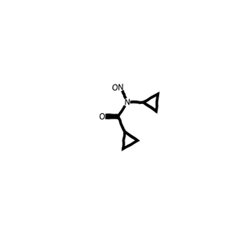 O=NN(C(=O)C1CC1)C1CC1